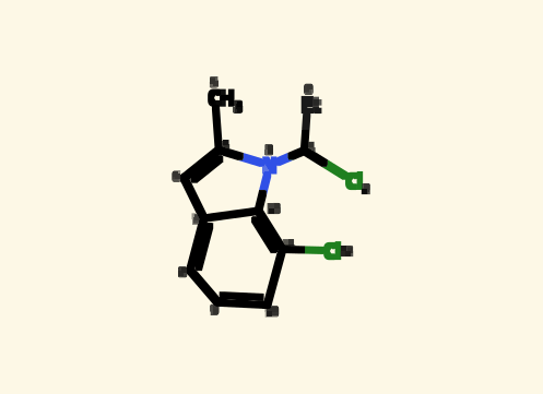 CCC(Cl)n1c(C)cc2cccc(Cl)c21